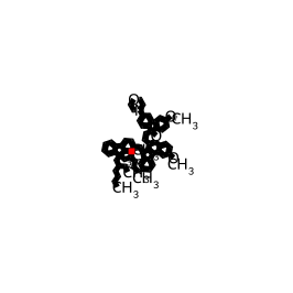 CCCCC(CC)CC1(CC(CC)CCCC)c2ccccc2-c2ccc(CC3(C)c4ccccc4-c4c3c3c(c5ccc(OC)cc45)OC(c4ccc(OC)cc4)(c4ccc(N5CCOCC5)cc4)C=C3)cc21